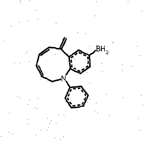 Bc1ccc2c(c1)C(=C)/C=C\C=C/CN2c1ccccc1